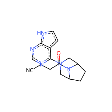 N#CCCC(=O)N1C2CCC1CN(c1ncnc3[nH]ccc13)C2